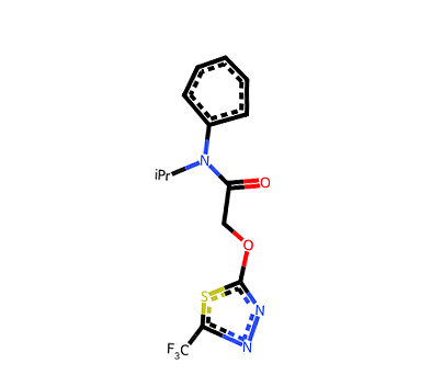 CC(C)N(C(=O)COc1nnc(C(F)(F)F)s1)c1ccccc1